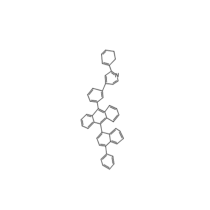 C1=CCCC(c2cc(-c3cccc(-c4c5ccccc5c(-c5ccc(-c6ccccc6)c6ccccc56)c5ccccc45)c3)ccn2)=C1